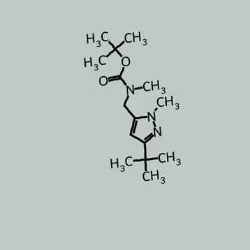 CN(Cc1cc(C(C)(C)C)nn1C)C(=O)OC(C)(C)C